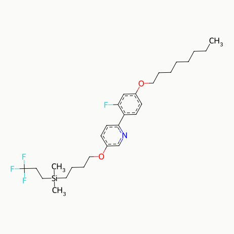 CCCCCCCCOc1ccc(-c2ccc(OCCCC[Si](C)(C)CCC(F)(F)F)cn2)c(F)c1